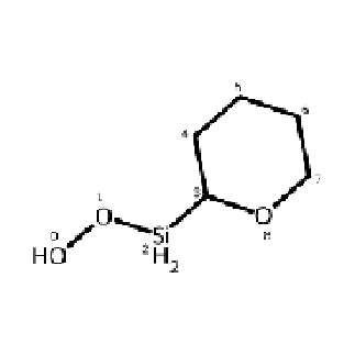 OO[SiH2]C1CCCCO1